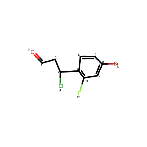 O=CCC(Cl)c1ccc(Br)cc1F